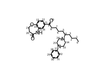 CCCCC(CCCCC(=O)c1ccc2c(c1)NC(=O)CCO2)N1CCN(c2ccccc2)CC1